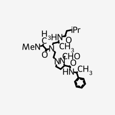 CNC(C)C(=O)N(CCN1CCC(C(=O)NC(C)c2ccccc2)N1C=O)CC(C)NC(=O)CC(C)C